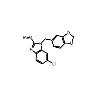 COc1nc2ccc(Cl)cc2n1Cc1ccc2c(c1)OCO2